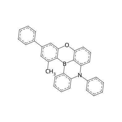 Cc1cc(-c2ccccc2)cc2c1B1c3ccccc3N(c3ccccc3)c3cccc(c31)O2